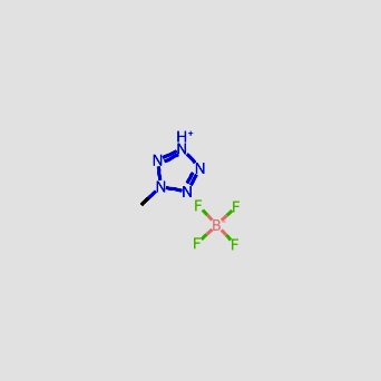 Cn1nn[nH+]n1.F[B-](F)(F)F